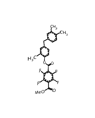 COC(=O)c1c(F)c(F)c(C(=O)Oc2ccc(Cc3ccc(C)c(C)c3)cc2C)c(F)c1F